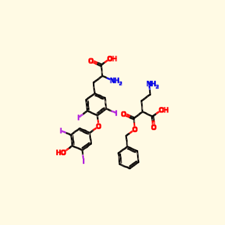 NC(Cc1cc(I)c(Oc2cc(I)c(O)c(I)c2)c(I)c1)C(=O)O.NCCC(C(=O)O)C(=O)OCc1ccccc1